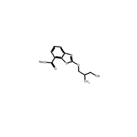 COC(=O)c1cccc2nc(OCC(C)CC#N)sc12